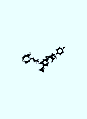 Cc1nn(C2CCN(C)CC2)cc1Nc1cc(NCCCN2C=COC=CC2=O)c(C2CC2)cn1